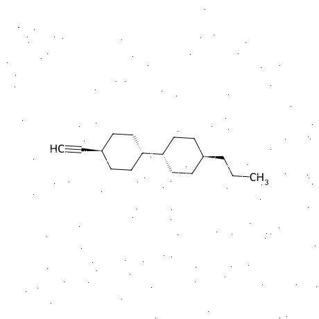 C#C[C@H]1CC[C@H]([C@H]2CC[C@H](CCC)CC2)CC1